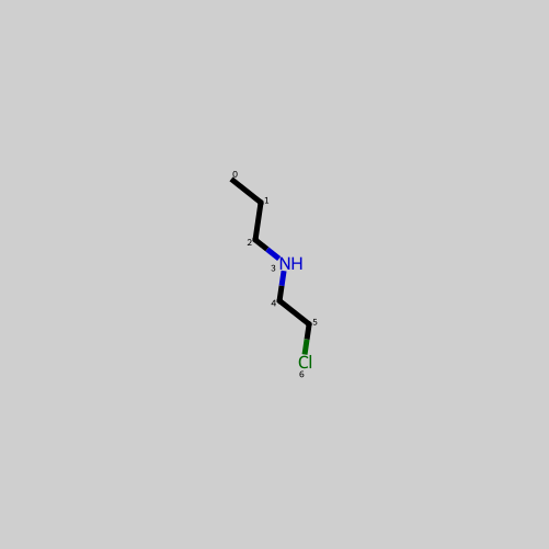 CCCNCCCl